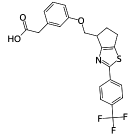 O=C(O)Cc1cccc(OCC2CCc3sc(-c4ccc(C(F)(F)F)cc4)nc32)c1